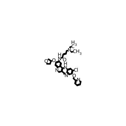 CCN(CC)CC=CC(=O)Nc1cc2c(Nc3ccc(OCc4ccccn4)c(Cl)c3)c(C#N)cnc2cc1OC1CCOC1